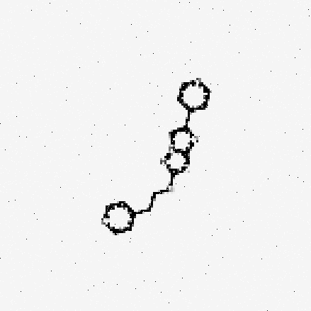 c1cc(CCNc2nn3cc(-c4ccncc4)nc3s2)ccn1